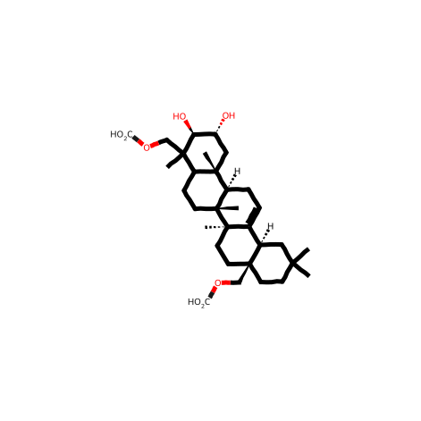 CC1(C)CC[C@]2(COC(=O)O)CC[C@]3(C)C(=CC[C@@H]4[C@@]5(C)C[C@@H](O)[C@H](O)C(C)(COC(=O)O)C5CC[C@]43C)[C@H]2C1